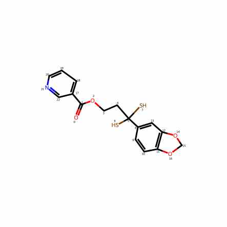 O=C(OCCC(S)(S)c1ccc2c(c1)OCO2)c1cccnc1